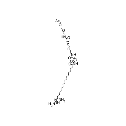 CC(=O)COCCOCCNC(=O)COCCOCCNC(=O)C1CC[SH]1(=O)NC(=O)CCCCCCCCCCCCCCCC/C(N)=N/NN